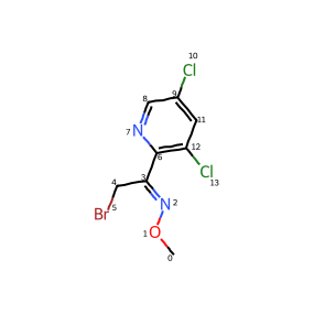 CON=C(CBr)c1ncc(Cl)cc1Cl